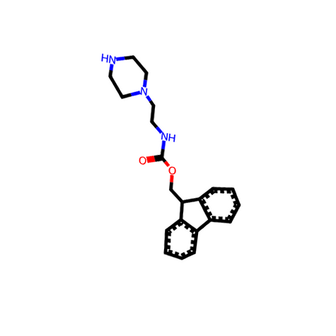 O=C(NCCN1CCNCC1)OCC1c2ccccc2-c2ccccc21